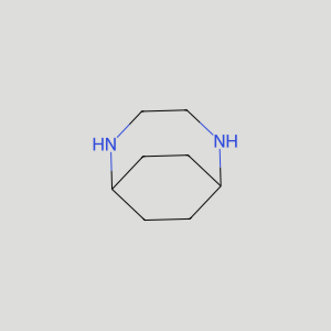 C1CNC2CCC(CC2)N1